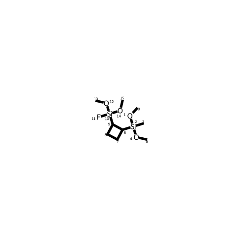 CO[Si](C)(OC)C1CCC1[Si](F)(OC)OC